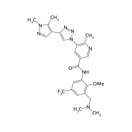 COc1c(CN(C)C)cc(C(F)(F)F)cc1NC(=O)c1cnc(C)c(-n2cc(-c3cnn(C)c3C)nn2)c1